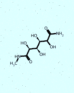 CNC(=O)[C@@H](O)[C@H](O)[C@@H](O)C(O)C(N)=O